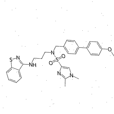 COc1ccc(-c2ccc(CN(CCCNc3nsc4ccccc34)S(=O)(=O)c3cn(C)c(C)n3)cc2)cc1